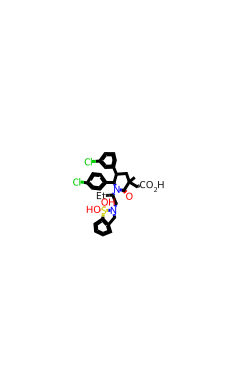 CCC(CN1Cc2ccccc2S1(O)O)N1C(=O)C(C)(CC(=O)O)CC(c2cccc(Cl)c2)C1c1ccc(Cl)cc1